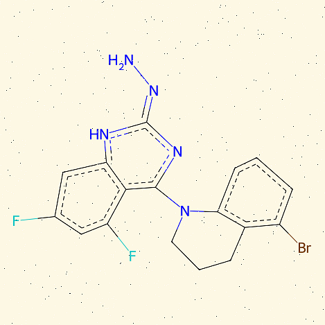 N/N=c1/nc(N2CCCc3c(Br)cccc32)c2c(F)cc(F)cc2[nH]1